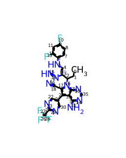 CCC(/C(=C/Nc1ccc(F)cc1F)N=N)n1c(C#N)c(-c2cnc(C(F)(F)F)nc2)c2c(N)ncnc21